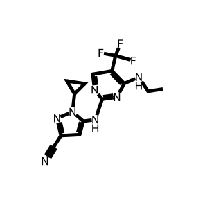 CCNc1nc(Nc2cc(C#N)nn2C2CC2)ncc1C(F)(F)F